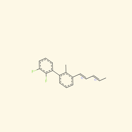 C/C=C/C=C/c1cccc(-c2cccc(F)c2F)c1C